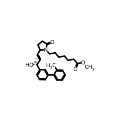 COC(=O)CCCCCCN1C(=O)CCC1/C=C/[C@@H](O)c1cccc(-c2ccccc2C)c1